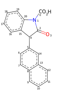 O=C(O)N1C(=O)C(c2ccc3ccccc3c2)c2ccccc21